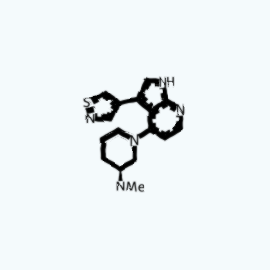 CN[C@H]1CCCN(c2ccnc3[nH]cc(-c4cnsc4)c23)C1